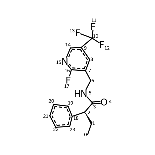 CC[C@H](C(=O)NCc1cc(C(F)(F)F)cnc1F)c1ccccc1